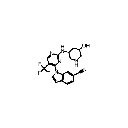 N#Cc1ccc2ccn(-c3nc(N[C@@H]4CNC[C@H](O)C4)ncc3C(F)(F)F)c2c1